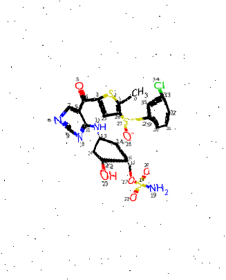 Cc1sc(C(=O)c2cncnc2N[C@@H]2C[C@H](COS(N)(=O)=O)[C@@H](O)C2)cc1[S+]([O-])c1cccc(Cl)c1